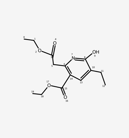 CCOC(=O)Cc1nc(O)c(CC)cc1C(=O)OCC